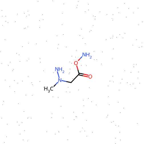 CN(N)CC(=O)ON